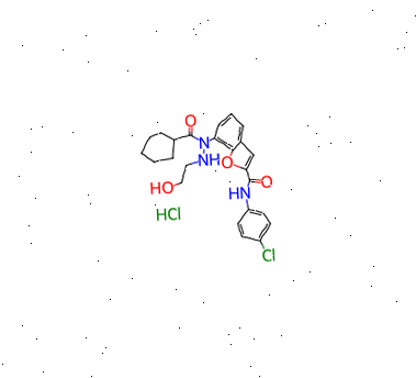 Cl.O=C(Nc1ccc(Cl)cc1)c1cc2cccc(N(NCCO)C(=O)C3CCCCC3)c2o1